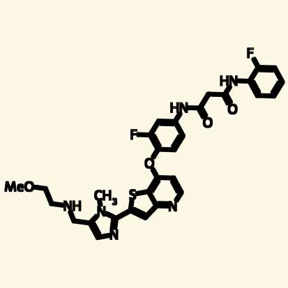 COCCNCc1cnc(-c2cc3nccc(Oc4ccc(NC(=O)CC(=O)Nc5ccccc5F)cc4F)c3s2)n1C